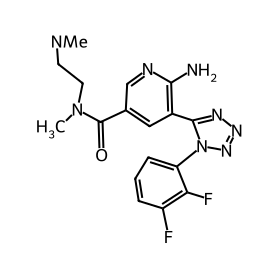 CNCCN(C)C(=O)c1cnc(N)c(-c2nnnn2-c2cccc(F)c2F)c1